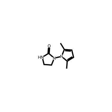 Cc1ccc(C)n1N1CCNC1=O